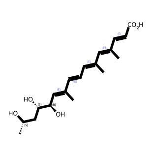 CC(=C\C=C\C(C)=C\[C@@H](O)[C@@H](O)C[C@H](C)O)/C=C(C)/C=C/C(=O)O